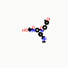 COc1ccc([C@H]2CC[C@H](CN(C(=O)C3CCC(NC(=O)C4CC(O)C4)CC3)c3cccc(-c4cnn(C(C)C)c4)c3)CC2)cc1C